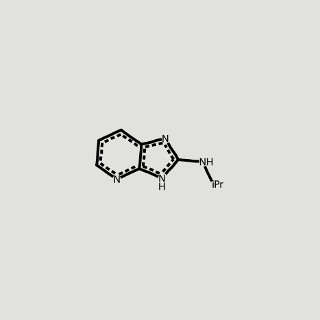 CC(C)Nc1nc2cccnc2[nH]1